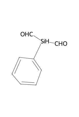 O=C[SiH](C=O)c1ccccc1